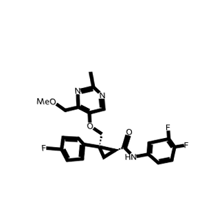 COCc1nc(C)ncc1OC[C@@]1(c2ccc(F)cc2)C[C@H]1C(=O)Nc1ccc(F)c(F)c1